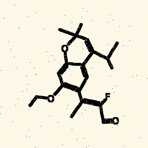 CCOc1cc2c(cc1C(C)=C(F)C=O)C(C(C)C)=CC(C)(C)O2